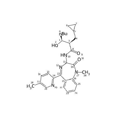 CCCC[C@H](O)[C@@H](CC1CC1)C(=O)NC1N=C(c2ccc(C)cn2)c2ccccc2N(C)C1=O